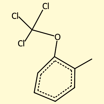 Cc1ccccc1OC(Cl)(Cl)Cl